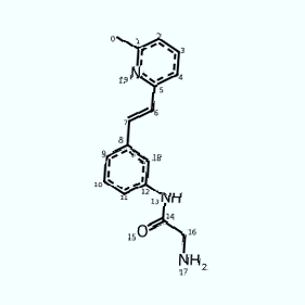 Cc1cccc(C=Cc2cccc(NC(=O)CN)c2)n1